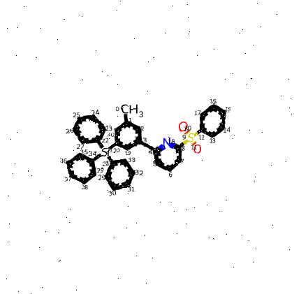 Cc1cc(-c2cccc(S(=O)(=O)c3ccccc3)n2)cc([Si](c2ccccc2)(c2ccccc2)c2ccccc2)c1